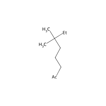 CCC(C)(C)CCCC(C)=O